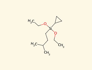 CCO[Si](CCC(C)C)(OCC)C1CC1